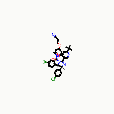 CCOc1cc(C(C)(C)C)ncc1C1=N[C@@](C)(c2ccc(Cl)cc2)[C@@](C)(c2ccc(Cl)cc2)N1C(=O)N1CCC(OCCC#N)CC1